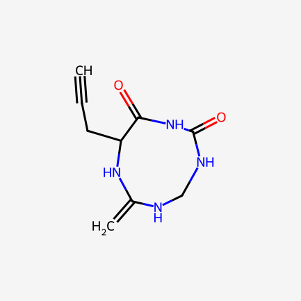 C#CCC1NC(=C)NCNC(=O)NC1=O